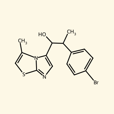 Cc1csc2ncc(C(O)C(C)c3ccc(Br)cc3)n12